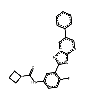 O=C(Nc1ccc(F)c(-c2nc3ncc(-c4ccccc4)cn3n2)c1)N1CCC1